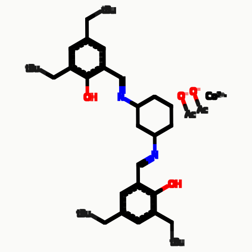 CC(=O)[O-].CC(=O)[O-].CC(C)(C)Cc1cc(C=NC2CCCC(N=Cc3cc(CC(C)(C)C)cc(CC(C)(C)C)c3O)C2)c(O)c(CC(C)(C)C)c1.[Co+2]